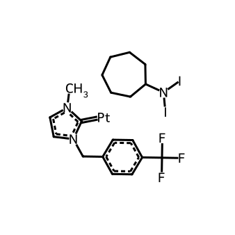 Cn1ccn(Cc2ccc(C(F)(F)F)cc2)[c]1=[Pt].IN(I)C1CCCCCC1